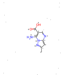 Cc1cc2ncc(C(=O)O)c(N)n2n1